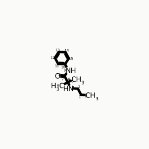 CCCNC(C)(C)C(=O)Nc1ccccc1